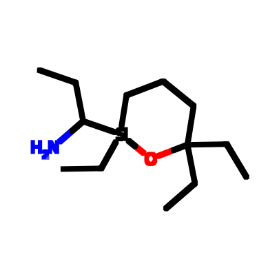 CCC(N)[Si]1(CC)CCCC(CC)(CC)O1